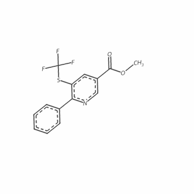 COC(=O)c1cnc(-c2ccccc2)c(SC(F)(F)F)c1